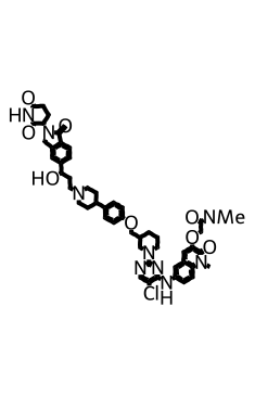 CNC(=O)COc1cc2cc(Nc3nc(N4CCCC(COc5ccc(C6CCN(CCC(O)c7ccc8c(c7)CN(C7CCC(=O)NC7=O)C8=O)CC6)cc5)C4)ncc3Cl)ccc2n(C)c1=O